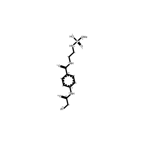 CSP(=O)(O)NCCNC(=O)c1ccc(NC(=O)CC(C)C)cc1